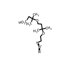 CC(C)(CCOC(C)(C)CC(=O)O)OCCN=[N+]=[N-]